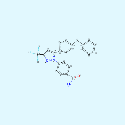 NC(=O)c1ccc(-n2nc(C(F)(F)F)cc2-c2ccc(Cc3ccccc3)cc2)cc1